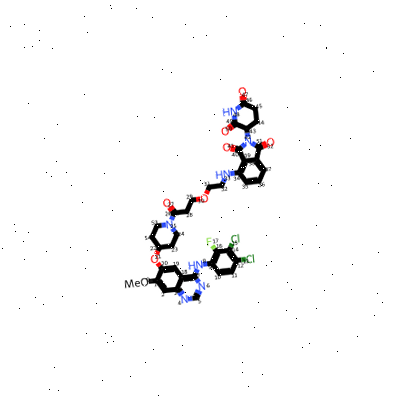 COc1cc2ncnc(Nc3ccc(Cl)c(Cl)c3F)c2cc1OC1CCN(C(=O)CCOCCNc2cccc3c2C(=O)N(C2CCC(=O)NC2=O)C3=O)CC1